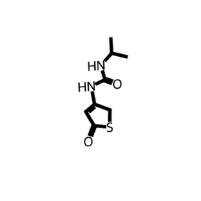 CC(C)NC(=O)NC1=CC(=O)SC1